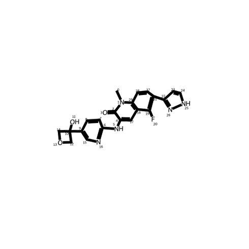 Cn1c(=O)c(Nc2ccc(C3(O)COC3)cn2)cc2c(F)c(-c3cc[nH]n3)ccc21